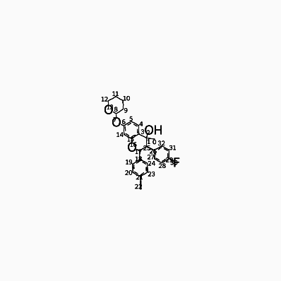 CC1(O)c2ccc(OC3CCCCO3)cc2OC(c2ccc(I)cc2)C1c1ccc(F)cc1